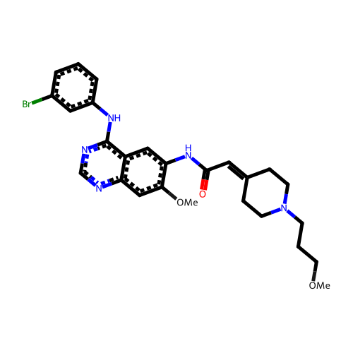 COCCCN1CCC(=CC(=O)Nc2cc3c(Nc4cccc(Br)c4)ncnc3cc2OC)CC1